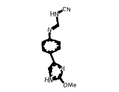 COc1nc(-c2ccc(/N=C/NC#N)cc2)c[nH]1